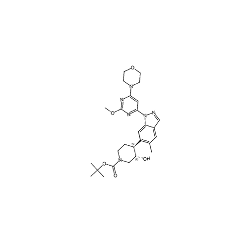 COc1nc(N2CCOCC2)cc(-n2ncc3cc(C)c([C@@H]4CCN(C(=O)OC(C)(C)C)C[C@H]4O)cc32)n1